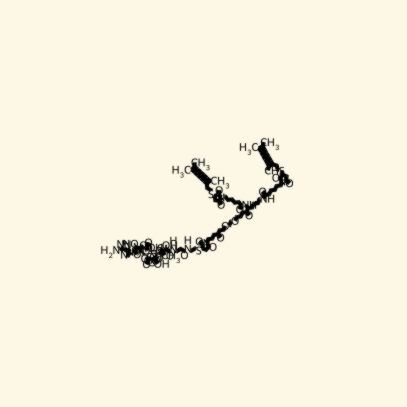 CC1C(C)C2C1C1C2C2C3C(CCSC4CC(=O)N(CCCCCC(=O)NCCCCC(NC(=O)CCCCCN5C(=O)CC(SCCC6C(C)C7C6C6C8C9C(C)C(C)C9C8C76)C5=O)C(=O)CCCOCCOCCC(=O)CCCN5C(=O)CC(SCCNC(=O)CCNC(=O)[C@H](O)C(C)(C)COP(=O)(O)OP(=O)(O)OC[C@H]6O[C@@H](n7cnc8c(N)ncnc87)[C@@H](O)C6OP(=O)(O)O)C5=O)C4=O)C(C)C3C12